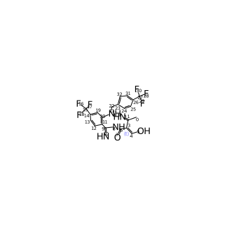 CC(=N)/C(=C\O)C(=O)NC(=N)c1ccc(C(F)(F)F)cc1NCc1ccc(C(F)(F)F)cc1